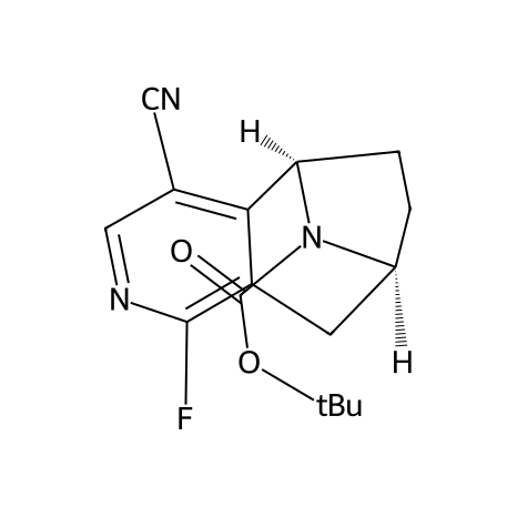 CC(C)(C)OC(=O)N1[C@H]2CC[C@@H]1c1c(C#N)cnc(F)c1C2